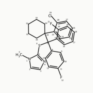 Cn1ccnc1SC(c1ccc(F)cc1)(c1ccccc1F)C1(c2ccccc2Cl)CCCCC1